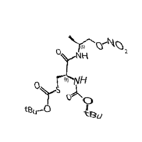 C[C@@H](CO[N+](=O)[O-])NC(=O)[C@H](CSC(=O)OC(C)(C)C)NC(=O)OC(C)(C)C